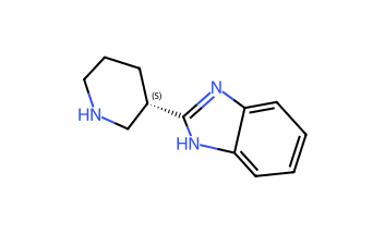 c1ccc2[nH]c([C@H]3CCCNC3)nc2c1